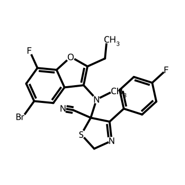 CCc1oc2c(F)cc(Br)cc2c1N(C)C1(C#N)SCN=C1c1ccc(F)cc1